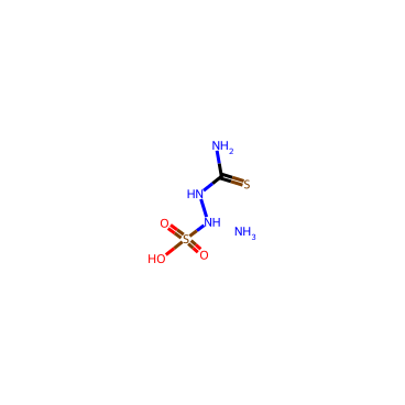 N.NC(=S)NNS(=O)(=O)O